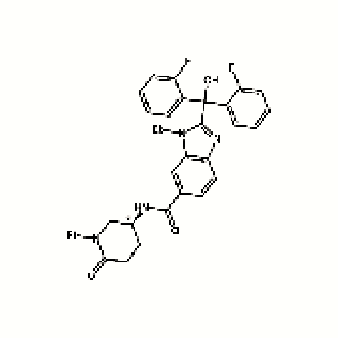 CCN1C[C@@H](NC(=O)c2ccc3nc(C(O)(c4ccccc4F)c4ccccc4F)n(CC)c3c2)CCC1=O